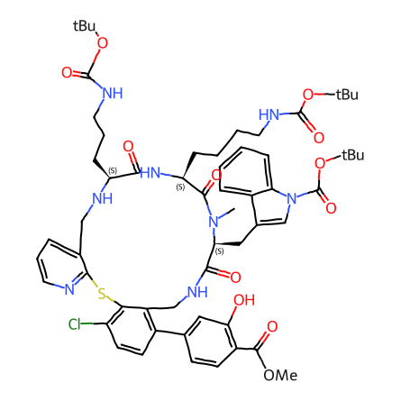 COC(=O)c1ccc(-c2ccc(Cl)c3c2CNC(=O)[C@H](Cc2cn(C(=O)OC(C)(C)C)c4ccccc24)N(C)C(=O)[C@H](CCCCNC(=O)OC(C)(C)C)NC(=O)[C@H](CCCNC(=O)OC(C)(C)C)NCc2cccnc2S3)cc1O